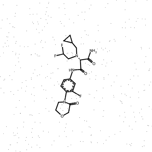 NC(=O)[C@H](C(=O)Nc1ccc(N2CCOCC2=O)c(F)c1)N(CC(F)F)CC1CC1